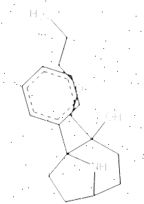 CCCOCC1(O)CCC2CCC1(c1ccccc1)N2